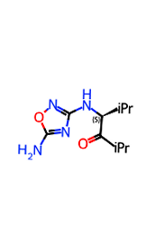 CC(C)C(=O)[C@@H](Nc1noc(N)n1)C(C)C